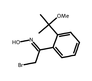 COC(C)(C)c1ccccc1C(CBr)=NO